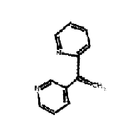 C=C(c1[c]nccc1)c1ccccn1